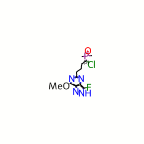 COc1nc(CCC[C@H](Cl)P(C)(C)=O)nc2c(F)[nH]nc12